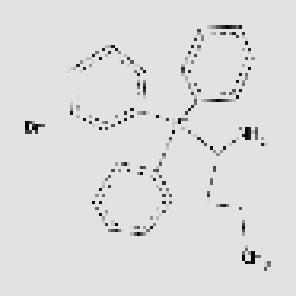 CCCC(N)[P+](c1ccccc1)(c1ccccc1)c1ccccc1.[Br-]